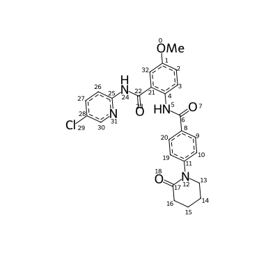 COc1ccc(NC(=O)c2ccc(N3CCCCC3=O)cc2)c(C(=O)Nc2ccc(Cl)cn2)c1